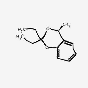 [CH2][C@@H]1OC(CC)(CC)Oc2ccccc21